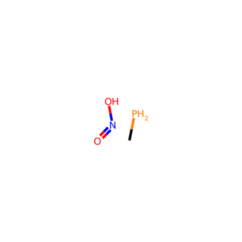 CP.O=NO